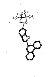 CC1(C)OB(c2ccc3cc(-c4cc5ccccc5c5ccccc45)oc3c2)OC1(C)C